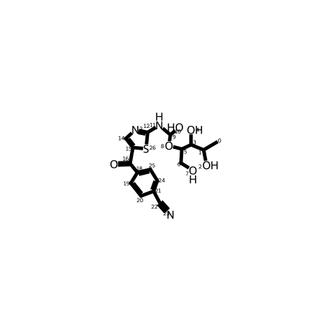 CC(O)C(O)C(CO)OC(O)Nc1ncc(C(=O)c2ccc(C#N)cc2)s1